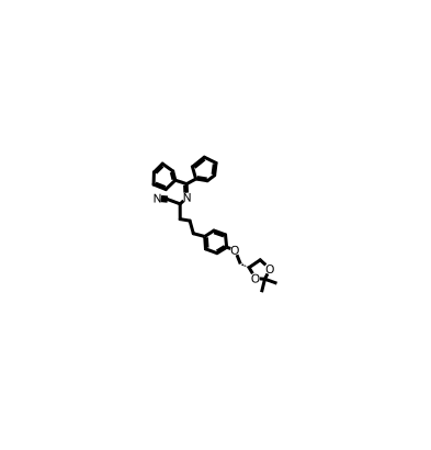 CC1(C)OC[C@@H](COc2ccc(CCCC(C#N)N=C(c3ccccc3)c3ccccc3)cc2)O1